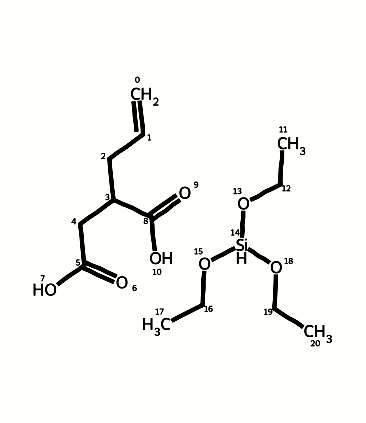 C=CCC(CC(=O)O)C(=O)O.CCO[SiH](OCC)OCC